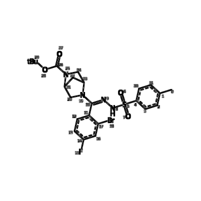 Cc1ccc(S(=O)(=O)NN=C(c2ccc(F)cc2Br)N2CC3CC2CN3C(=O)OC(C)(C)C)cc1